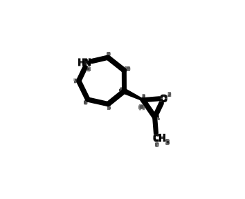 CC1O[C@@H]1C1CCCNCC1